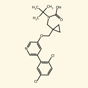 CC(C)(C)N(CC1(COc2cncc(-c3cc(Cl)ccc3Cl)c2)CC1)C(=O)O